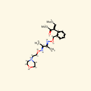 CO/C=C(\C(=O)OC)c1ccccc1CO/N=C(C)/C(C)=N/OCCN1CCOCC1